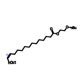 CCCCCCCC/C=C\CCCCCCCCCCCC(=O)OCCOCCCC